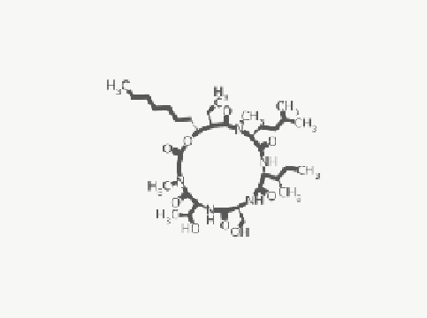 CCCCCCC[C@H]1OC(=O)CN(C)C(=O)[C@H]([C@H](C)O)NC(=O)[C@H](CO)NC(=O)[C@H]([C@H](C)CC)NC(=O)[C@H](CCC(C)C)N(C)C(=O)[C@@H]1CC